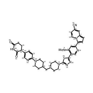 CNc1cc(-c2ccc3cc(C#N)cnn23)ncc1-c1nnc(N2CCN(CC3CCN(c4ccc([C@@H]5CCC(=O)NC5=O)cn4)CC3)CC2)s1